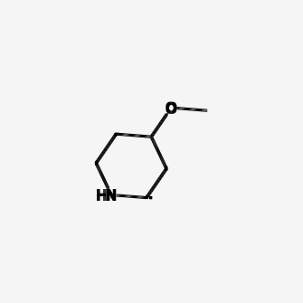 COC1C[CH]NCC1